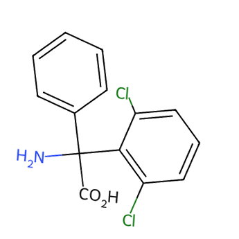 NC(C(=O)O)(c1ccccc1)c1c(Cl)cccc1Cl